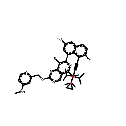 CNc1ccnc(COc2ncc3c(N(C)C4CC4)nc(-c4cc(O)cc5ccc(F)c(C#C[Si](C(C)C)(C(C)C)C(C)C)c45)c(F)c3n2)c1